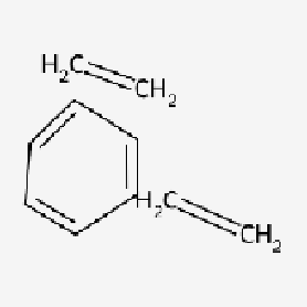 C=C.C=C.c1ccccc1